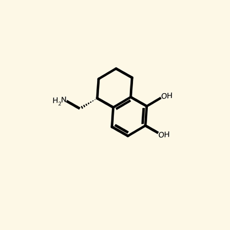 NC[C@@H]1CCCc2c1ccc(O)c2O